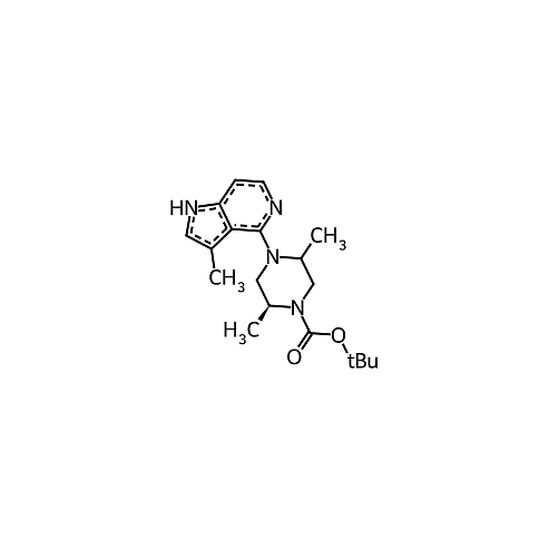 Cc1c[nH]c2ccnc(N3C[C@H](C)N(C(=O)OC(C)(C)C)CC3C)c12